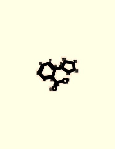 O=C(Cl)c1ccccc1N1CCCC1